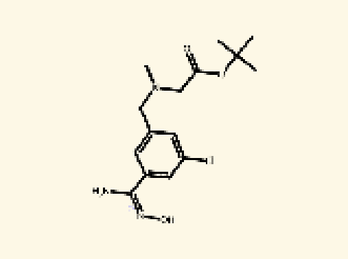 CN(CC(=O)OC(C)(C)C)Cc1cc(Cl)cc(/C(N)=N\O)c1